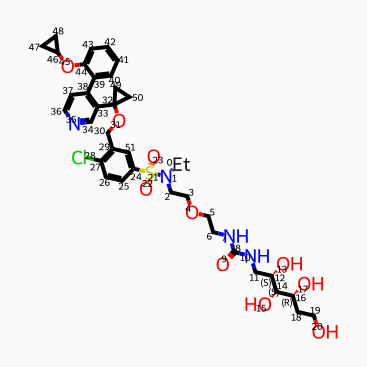 CCN(CCOCCNC(=O)NC[C@H](O)[C@@H](O)[C@H](O)CCO)S(=O)(=O)c1ccc(Cl)c(COC2(c3cnccc3-c3ccccc3OC3CC3)CC2)c1